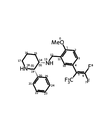 COc1ccc(C(=C(F)F)C(F)(F)F)cc1CN[C@H]1CCCN[C@H]1c1ccccc1